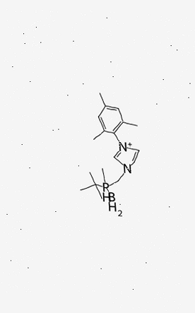 B[PH](C)(Cn1cc[n+](-c2c(C)cc(C)cc2C)c1)C(C)(C)C